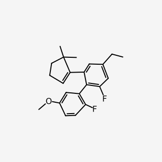 CCc1cc(F)c(-c2cc(OC)ccc2F)c(C2=CCCC2(C)C)c1